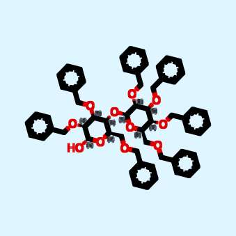 O[C@H]1O[C@H](COCc2ccccc2)[C@@H](O[C@@H]2O[C@H](COCc3ccccc3)[C@@H](OCc3ccccc3)[C@H](OCc3ccccc3)[C@H]2OCc2ccccc2)[C@H](OCc2ccccc2)[C@H]1OCc1ccccc1